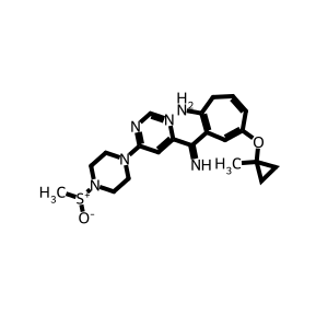 C[S+]([O-])N1CCN(c2cc(C(=N)C3=C(N)CC=CC(OC4(C)CC4)=C3)ncn2)CC1